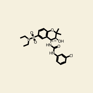 CCN(CC)S(=O)(=O)c1ccc2c(c1)[C@@H](NC(=O)Nc1cccc(Cl)c1)[C@H](O)C(C)(C)O2